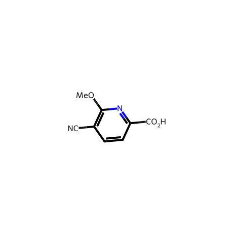 COc1nc(C(=O)O)ccc1C#N